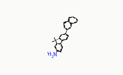 CC1(C)c2cc(N)ccc2-c2ccc(-c3ccc4ccccc4c3)cc21